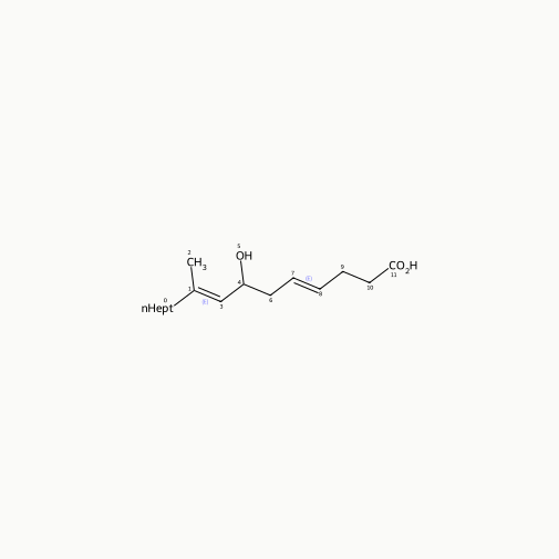 CCCCCCC/C(C)=C/C(O)C/C=C/CCC(=O)O